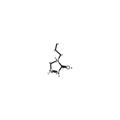 CCCN1[CH]N=NC1=O